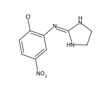 O=[N+]([O-])c1ccc(Cl)c(N=C2NCCN2)c1